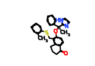 Cc1ccccc1SCc1c(O[C@@](C)(c2ccccc2)c2ncc[nH]2)ccc2c1CCCC2=O